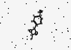 CC1OC(c2ccc(Br)cc2)O1